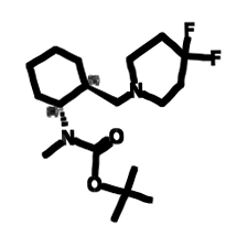 CN(C(=O)OC(C)(C)C)[C@@H]1CCCC[C@H]1CN1CCC(F)(F)CC1